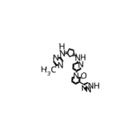 Cc1cnc(N[C@H]2CC[C@H](Nc3ccc(-n4cccc(-c5c[nH]nn5)c4=O)cn3)C2)cn1